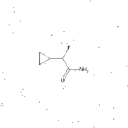 NC(=O)C(F)C1CC1